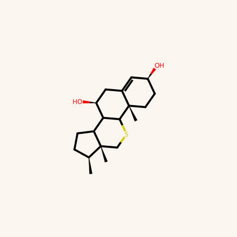 C[C@H]1CCC2C3C(SC[C@@]21C)[C@@]1(C)CC[C@H](O)C=C1C[C@@H]3O